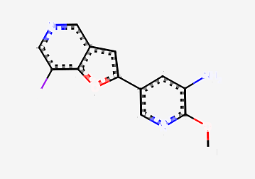 COc1ncc(-c2cc3cncc(I)c3o2)cc1N